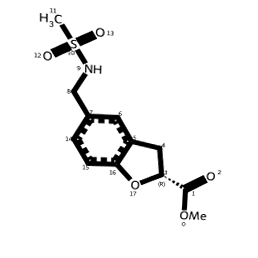 COC(=O)[C@H]1Cc2cc(CNS(C)(=O)=O)ccc2O1